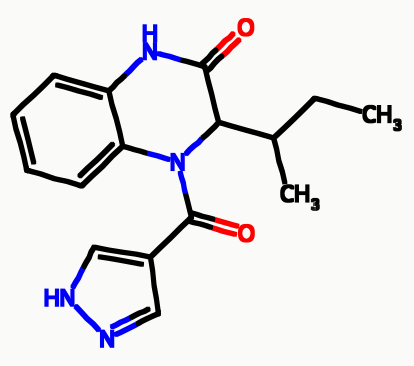 CCC(C)C1C(=O)Nc2ccccc2N1C(=O)c1cn[nH]c1